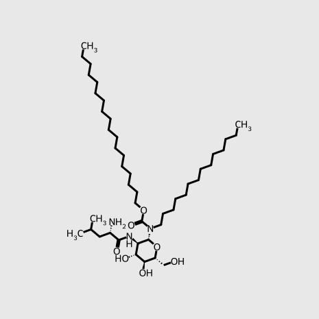 CCCCCCCCCCCCCCCCCCOC(=O)N(CCCCCCCCCCCCCC)[C@@H]1O[C@H](CO)[C@@H](O)[C@H](O)[C@H]1NC(=O)[C@@H](N)CC(C)C